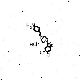 Cl.NC1CCC(CCN2CCN(c3noc4cc(Cl)c(Cl)cc34)CC2)CC1